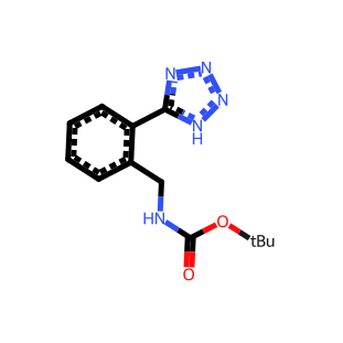 CC(C)(C)OC(=O)NCc1ccccc1-c1nnn[nH]1